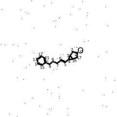 O=C1CC2C(/C=C/CCCc3ccccc3)C2C1